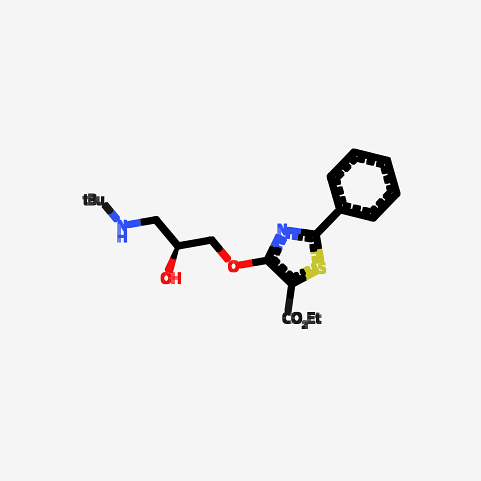 CCOC(=O)c1sc(-c2ccccc2)nc1OC[C@@H](O)CNC(C)(C)C